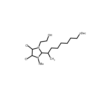 CCCCCCCCCCCCCCCCC(C)C1N(CCO)C(Cl)C(Cl)N1CCCC